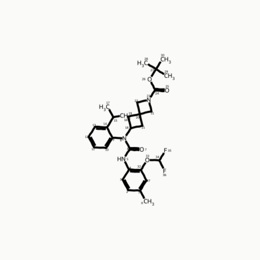 Cc1ccc(NC(=O)N(c2ccccc2C(C)C)C2CC3(C2)CN(C(=O)OC(C)(C)C)C3)c(OC(F)F)c1